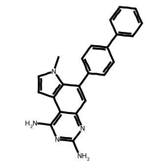 Cn1ccc2c3c(N)nc(N)nc3cc(-c3ccc(-c4ccccc4)cc3)c21